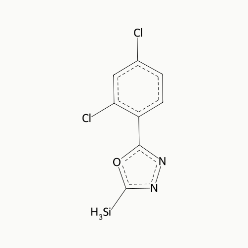 [SiH3]c1nnc(-c2ccc(Cl)cc2Cl)o1